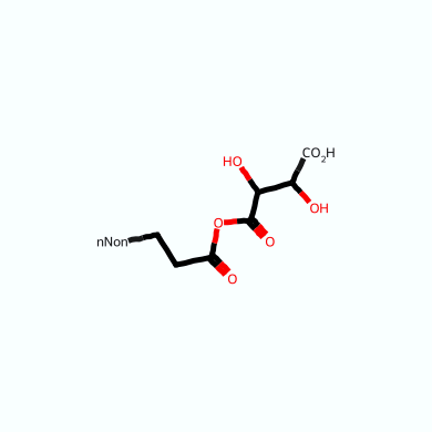 CCCCCCCCCCCC(=O)OC(=O)C(O)C(O)C(=O)O